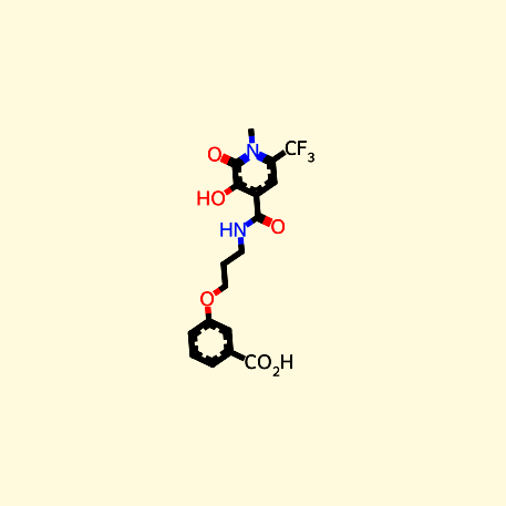 Cn1c(C(F)(F)F)cc(C(=O)NCCCOc2cccc(C(=O)O)c2)c(O)c1=O